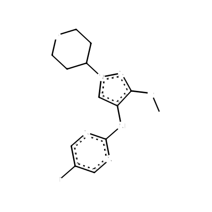 COc1nn(C2CCOCC2)cc1Nc1ncc(I)cn1